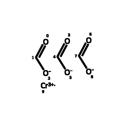 O=C[O-].O=C[O-].O=C[O-].[Cr+3]